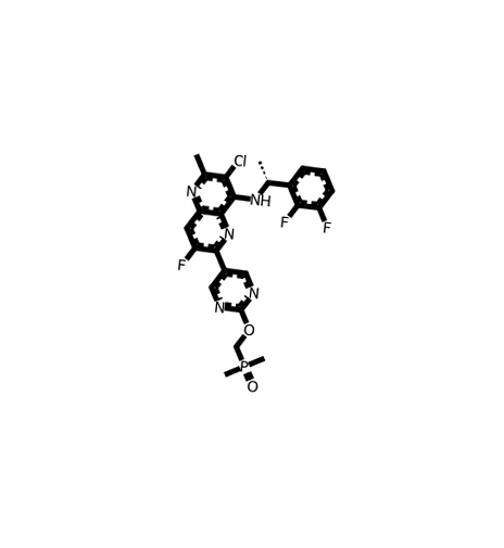 Cc1nc2cc(F)c(-c3cnc(OCP(C)(C)=O)nc3)nc2c(N[C@H](C)c2cccc(F)c2F)c1Cl